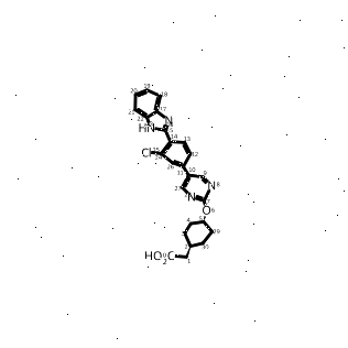 O=C(O)C[C@H]1CC[C@H](Oc2ncc(-c3ccc(-c4nc5ccccc5[nH]4)c(Cl)c3)cn2)CC1